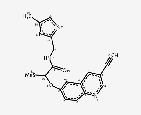 C#Cc1cnc2ccc(OC(SC)C(=O)NCc3nc(C)cs3)cc2c1